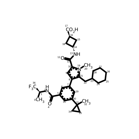 C[C@H](NC(=O)c1cc(-c2cc(C(=O)N[C@H]3C[C@H](C(=O)O)C3)n(C)c2CC2CCCCC2)cc(C2(C)CC2)c1)C(F)(F)F